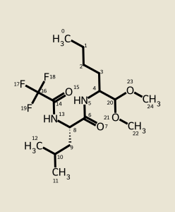 CCCCC(NC(=O)[C@H](CC(C)C)NC(=O)C(F)(F)F)C(OC)OC